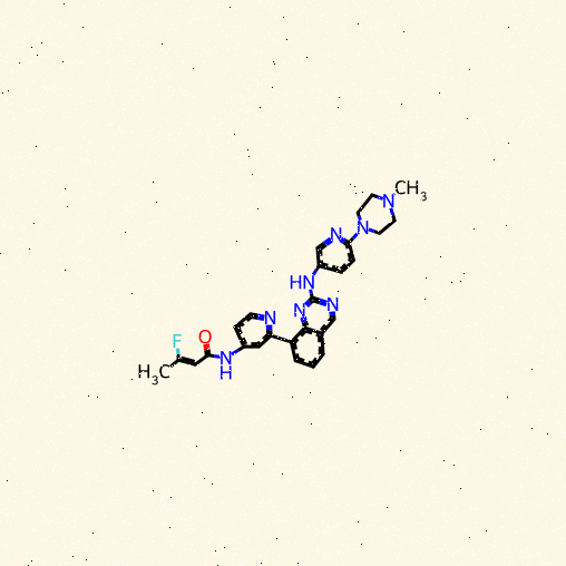 CC(F)=CC(=O)Nc1ccnc(-c2cccc3cnc(Nc4ccc(N5CCN(C)CC5)nc4)nc23)c1